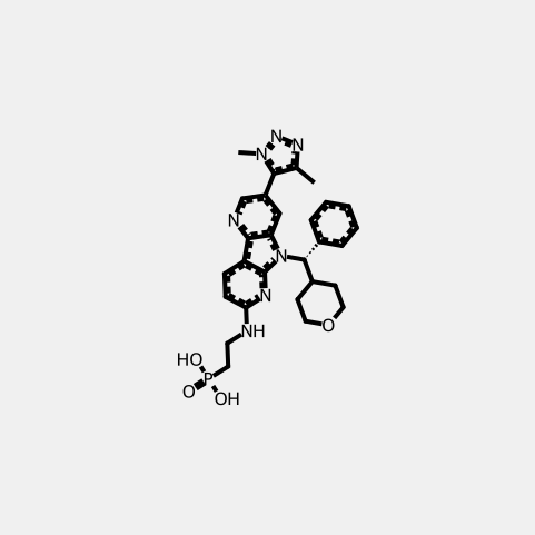 Cc1nnn(C)c1-c1cnc2c3ccc(NCCP(=O)(O)O)nc3n([C@H](c3ccccc3)C3CCOCC3)c2c1